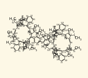 CCC1=C(C)c2nc1cc1[nH]c(c(C)c1CC)c(-c1ccccc1C(F)(F)F)c1nc(c(-c3ccc4c(c3)C(C)(C)c3cc(-c5c6nc(c(-c7ccccc7C(F)(F)F)c7[nH]c(cc8nc(c(-c9ccccc9C(F)(F)F)c9[nH]c5c(CC)c9C)C(C)=C8CC)c(CC)c7C)C(C)=C6CC)ccc3-4)c3[nH]c(c(C)c3CC)c2-c2ccccc2C(F)(F)F)C(CC)=C1C